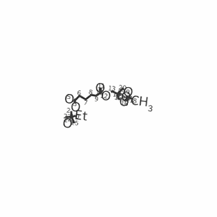 CCC1(COC(=O)CCCCC(=O)OCC23COC(C)(OC2)OC3)COC1